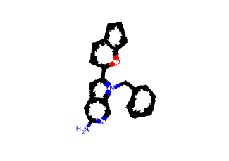 Nc1cc2cc(-c3ccc4cccc-4o3)n(Cc3ccccc3)c2cn1